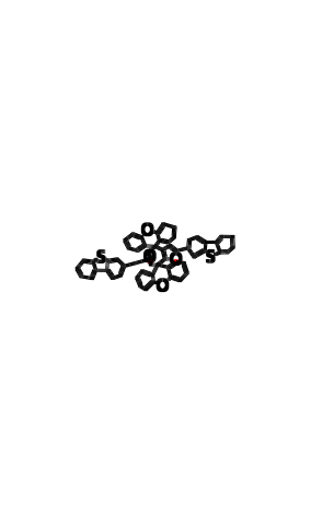 c1ccc2c(c1)Oc1ccccc1C21c2cc(-c3ccc4c(c3)sc3ccccc34)oc2C2(c3ccccc3Oc3ccccc32)c2cc(-c3ccc4c(c3)sc3ccccc34)oc21